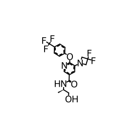 C[C@H](CO)NC(=O)c1cnc(Oc2ccc(C(F)(F)F)cc2)c(N2CC(F)(F)C2)c1